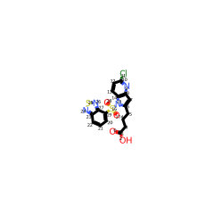 O=C(O)CCCc1cc2nc(Cl)ccc2n1S(=O)(=O)c1cccc2nsnc12